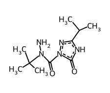 CC(C)c1nn(C(=O)N(N)C(C)(C)C)c(=O)[nH]1